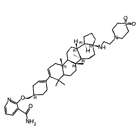 CC1(C)C(C2=CC[C@H](COc3ncccc3C(N)=O)CC2)=CC[C@@]2(C)C1CC[C@]1(C)C2CC[C@@H]2[C@H]3CCC[C@]3(NCCN3CCS(=O)(=O)CC3)CC[C@]21C